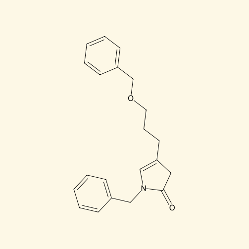 O=C1CC(CCCOCc2ccccc2)=CN1Cc1ccccc1